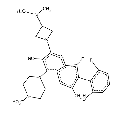 Cc1cc2c(N3CCN(C(=O)O)CC3)c(C#N)c(N3CC(N(C)C)C3)nc2c(F)c1-c1c(O)cccc1F